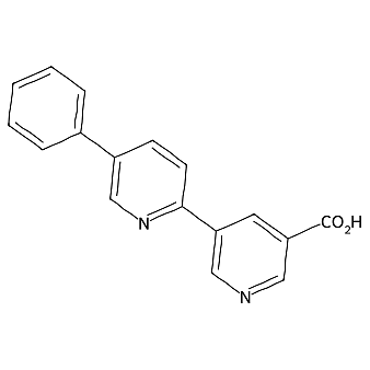 O=C(O)c1cncc(-c2ccc(-c3ccccc3)cn2)c1